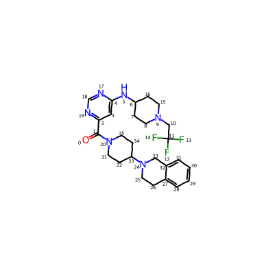 O=C(c1cc(NC2CCN(CC(F)(F)F)CC2)ncn1)N1CCC(N2CCc3ccccc3C2)CC1